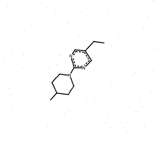 CCc1cnc(N2CCC(C)CC2)nc1